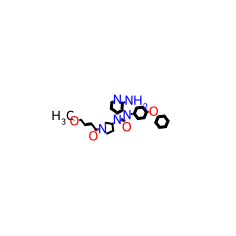 COC/C=C/C(=O)N1CCC(n2c(=O)n(-c3ccc(Oc4ccccc4)cc3)c3c(N)nccc32)C1